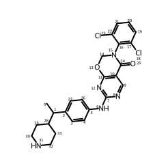 CC(c1ccc(Nc2ncc3c(n2)OCN(c2c(Cl)cccc2Cl)C3=O)cc1)C1CCNCC1